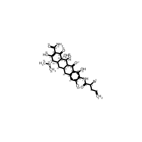 C=CCC(Br)C(=O)Nc1c(Cl)cc2c(c1O)C(=O)C1C(C2)CC2[C@H](N(C)C)C(O)=C(C(N)=O)C(=O)[C@@]2(O)C1O